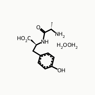 C[C@H](N)C(=O)N[C@@H](Cc1ccc(O)cc1)C(=O)O.O.O